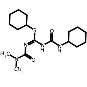 CN(C)C(=O)N=C(NC(=O)NC1CCCCC1)SC1CCCCC1